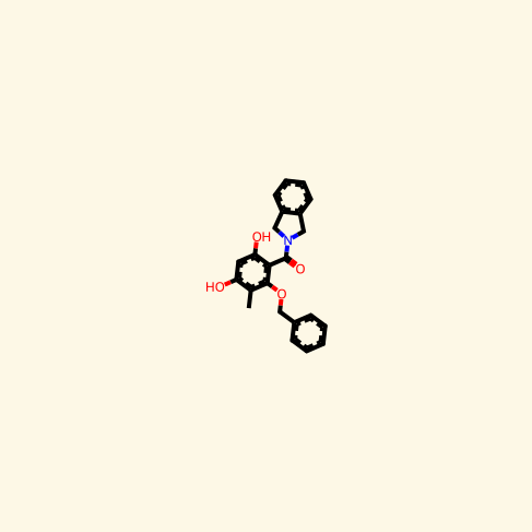 Cc1c(O)cc(O)c(C(=O)N2Cc3ccccc3C2)c1OCc1ccccc1